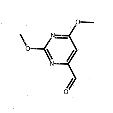 COc1cc(C=O)nc(OC)n1